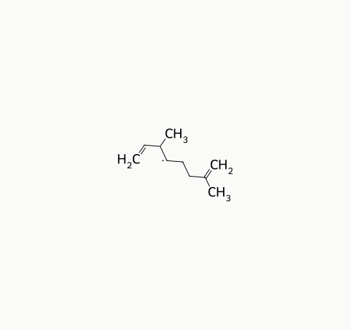 C=CC(C)[CH]CCC(=C)C